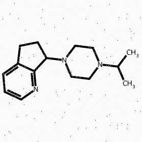 CC(C)N1CCN(C2CCc3cccnc32)CC1